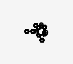 CC1(C)OB2OC1(C)c1cc(ccc1-c1ccccc1)N(c1ccc(-c3ccccc3)cc1)c1cc3c(oc4cccc2c43)c2ccccc12